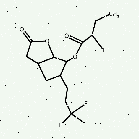 CCC(I)C(=O)OC1C(CCC(F)(F)F)CC2CC(=O)OC21